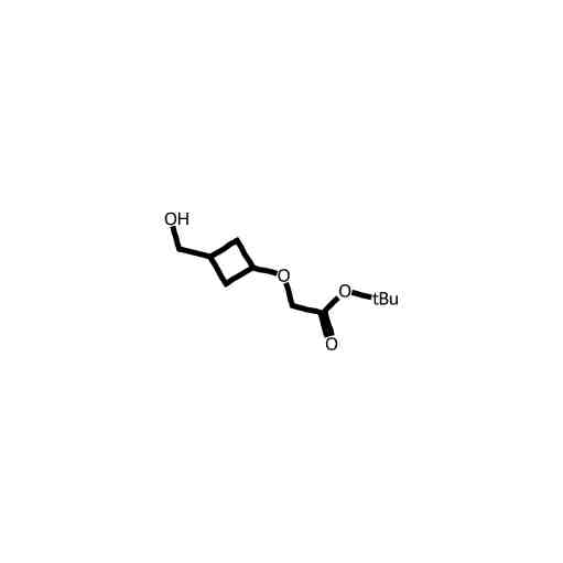 CC(C)(C)OC(=O)COC1CC(CO)C1